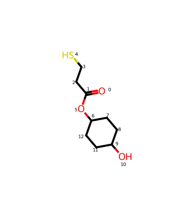 O=C(CCS)OC1CCC(O)CC1